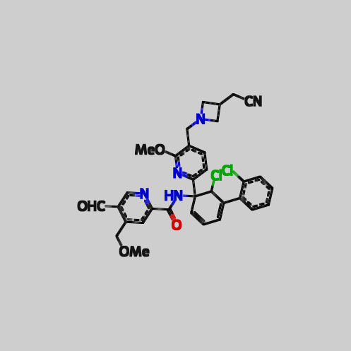 COCc1cc(C(=O)NC2(c3ccc(CN4CC(CC#N)C4)c(OC)n3)C=CC=C(c3ccccc3Cl)C2Cl)ncc1C=O